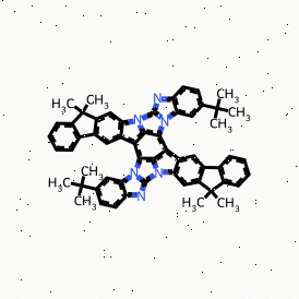 CC(C)(C)c1ccc2nc3n(c2c1)c1c2c4cc5c(cc4n4c2c(c2c6cc7c(cc6n3c21)C(C)(C)c1ccccc1-7)n1c2cc(C(C)(C)C)ccc2nc14)C(C)(C)c1ccccc1-5